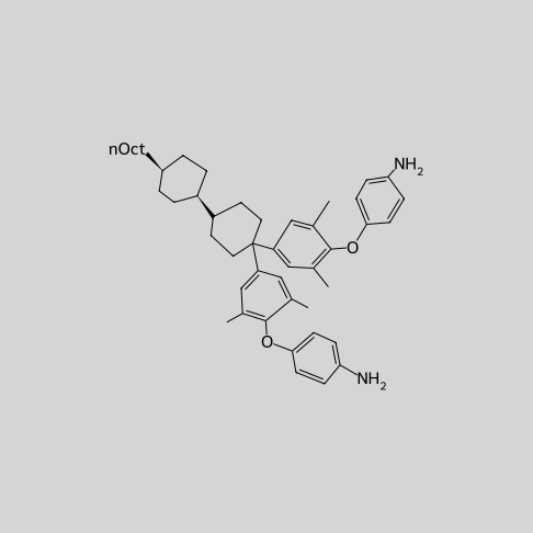 CCCCCCCC[C@H]1CC[C@@H](C2CCC(c3cc(C)c(Oc4ccc(N)cc4)c(C)c3)(c3cc(C)c(Oc4ccc(N)cc4)c(C)c3)CC2)CC1